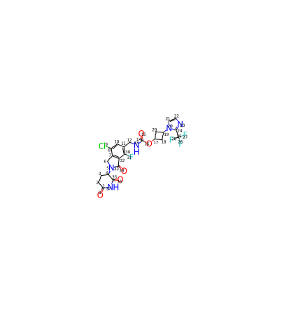 O=C1CC[C@@H](N2Cc3c(Cl)cc(CNC(=O)OC4CC(n5ccnc5C(F)(F)F)C4)c(F)c3C2=O)C(=O)N1